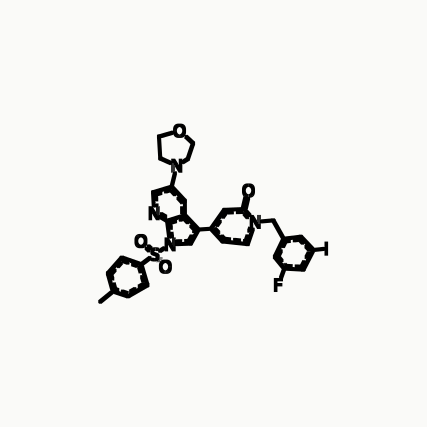 Cc1ccc(S(=O)(=O)n2cc(-c3ccn(Cc4cc(F)cc(I)c4)c(=O)c3)c3cc(N4CCOCC4)cnc32)cc1